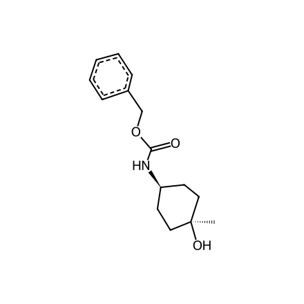 C[C@]1(O)CC[C@@H](NC(=O)OCc2ccccc2)CC1